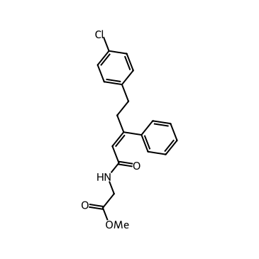 COC(=O)CNC(=O)/C=C(/CCc1ccc(Cl)cc1)c1ccccc1